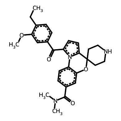 CCc1ccc(C(=O)c2ccc3n2-c2ccc(C(=O)N(C)C)cc2OC32CCNCC2)cc1OC